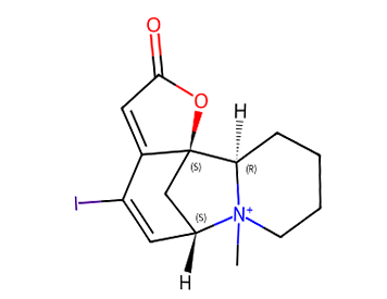 C[N+]12CCCC[C@@H]1[C@]13C[C@H]2C=C(I)C1=CC(=O)O3